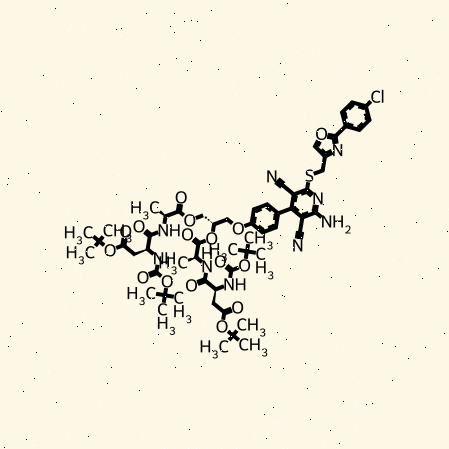 C[C@H](NC(=O)[C@H](CC(=O)OC(C)(C)C)NC(=O)OC(C)(C)C)C(=O)OC[C@H](COc1ccc(-c2c(C#N)c(N)nc(SCc3coc(-c4ccc(Cl)cc4)n3)c2C#N)cc1)OC(=O)[C@H](C)NC(=O)[C@H](CC(=O)OC(C)(C)C)NC(=O)OC(C)(C)C